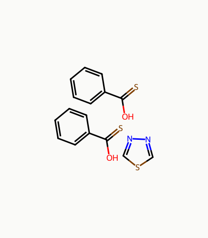 OC(=S)c1ccccc1.OC(=S)c1ccccc1.c1nncs1